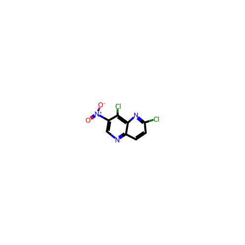 O=[N+]([O-])c1cnc2ccc(Cl)nc2c1Cl